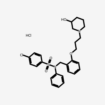 Cl.O=S(=O)(c1ccc(Cl)cc1)N(Cc1ccccc1OCCCN1CCCC(O)C1)c1ccccc1